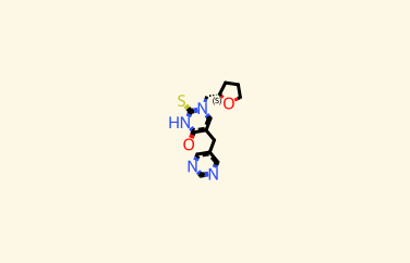 O=c1[nH]c(=S)n(C[C@@H]2CCCO2)cc1Cc1cncnc1